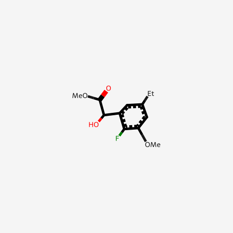 CCc1cc(OC)c(F)c(C(O)C(=O)OC)c1